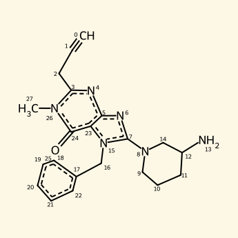 C#CCc1nc2nc(N3CCCC(N)C3)n(Cc3ccccc3)c2c(=O)n1C